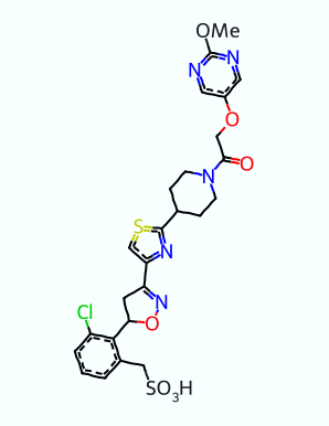 COc1ncc(OCC(=O)N2CCC(c3nc(C4=NOC(c5c(Cl)cccc5CS(=O)(=O)O)C4)cs3)CC2)cn1